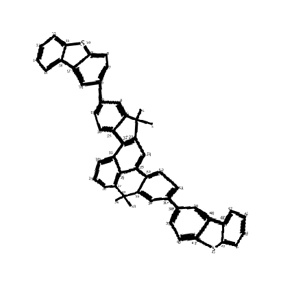 CC1(C)c2cc(-c3ccc4sc5ccccc5c4c3)ccc2-c2c1cc1c3c(cccc23)C(C)(C)c2cc(-c3ccc4sc5ccccc5c4c3)ccc2-1